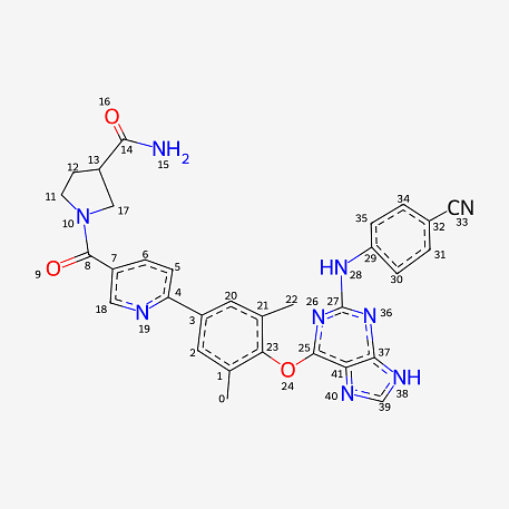 Cc1cc(-c2ccc(C(=O)N3CCC(C(N)=O)C3)cn2)cc(C)c1Oc1nc(Nc2ccc(C#N)cc2)nc2[nH]cnc12